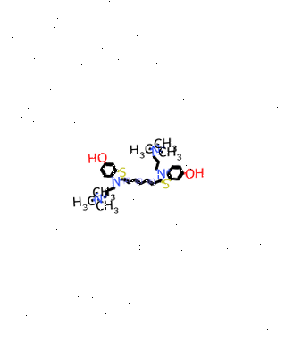 C[N+](C)(C)CCCN1/C(=C/C=C/C=C/c2sc3cc(O)ccc3[n+]2CCC[N+](C)(C)C)Sc2cc(O)ccc21